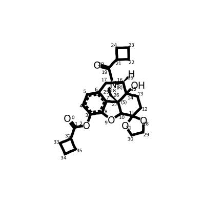 O=C(Oc1ccc2c3c1OC1C4(CCC5(O)[C@@H](C2)N(C(=O)C2CCC2)CC[C@]315)OCCO4)C1CCC1